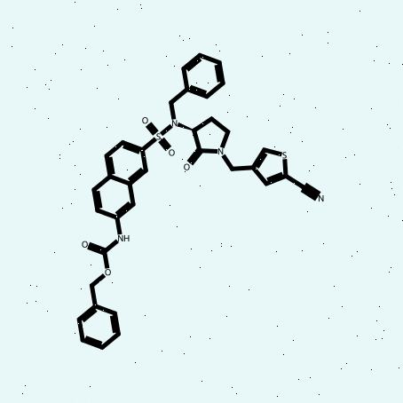 N#Cc1cc(CN2CC[C@H](N(Cc3ccccc3)S(=O)(=O)c3ccc4ccc(NC(=O)OCc5ccccc5)cc4c3)C2=O)cs1